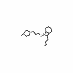 CCCCC1C2CCCCC2=[N+]1OCCCN1CCN(C)CC1